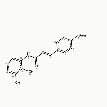 CCCCCc1ccc(C=CC(=O)Nc2cccc(O)c2O)cc1